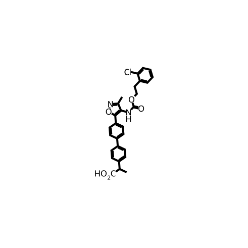 Cc1noc(-c2ccc(-c3ccc(C(C)C(=O)O)cc3)cc2)c1NC(=O)OCCc1ccccc1Cl